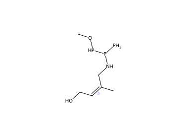 COPP(P)NC/C(C)=C\CO